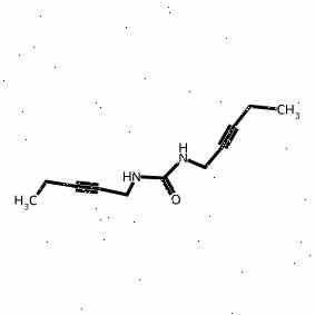 CCC#CCNC(=O)NCC#CCC